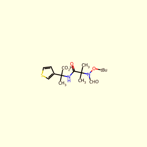 CC(C)(C)ON(C=O)C(C)(C)C(=O)NC(C)(C(=O)O)c1ccsc1